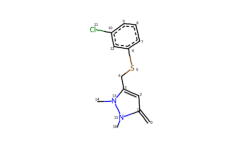 C=C1C=C(CSc2cccc(Cl)c2)N(C)N1C